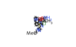 COCCn1cc(-c2nc(Cl)c(N(C(=O)C[C@@H](C)C(N)=O)[C@@H]3C(=O)N4CCCN4Cc4ccccc43)s2)cn1